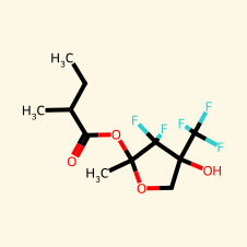 CCC(C)C(=O)OC1(C)OCC(O)(C(F)(F)F)C1(F)F